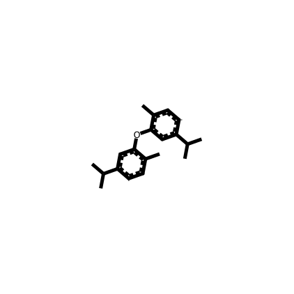 Cc1c[c]c(C(C)C)cc1Oc1cc(C(C)C)[c]cc1C